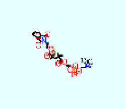 CC(C)(CC(C)(Br)C(=O)OCCOP(=O)([O-])OCC[N+](C)(C)[13CH3])C(=O)OCCN1C(=O)C2C3C=CC(O3)C2C1=O